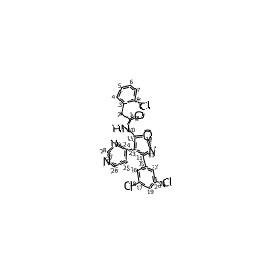 O=C(Cc1ccccc1Cl)Nc1onc(-c2cc(Cl)cc(Cl)c2)c1-c1ccncn1